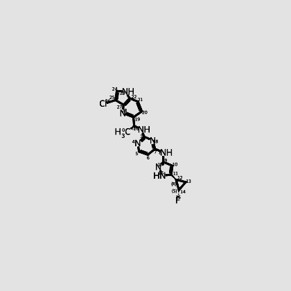 C[C@H](Nc1nccc(Nc2cc([C@H]3C[C@@H]3F)[nH]n2)n1)c1ccc2[nH]cc(Cl)c2n1